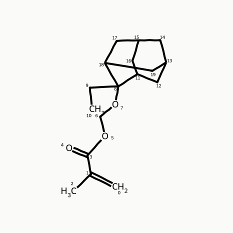 C=C(C)C(=O)OCOC1(CC)C2CC3CC(C2)CC1C3